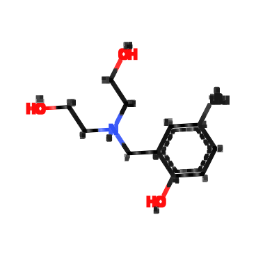 CC(C)(C)c1ccc(O)c(CN(CCO)CCO)c1